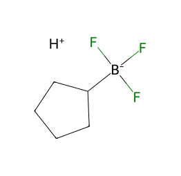 F[B-](F)(F)C1CCCC1.[H+]